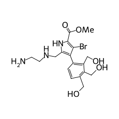 COC(=O)c1[nH]c(CNCCN)c(-c2ccc(CO)c(CO)c2CO)c1Br